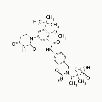 COc1c(C(=O)Nc2ccc(CN(C(C)C(C)(C)C(=O)O)[SH](=O)=O)cc2)cc(N2CCC(=O)NC2=O)cc1C(C)(C)C